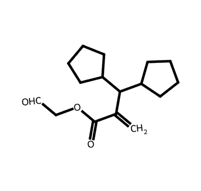 C=C(C(=O)OCC=O)C(C1CCCC1)C1CCCC1